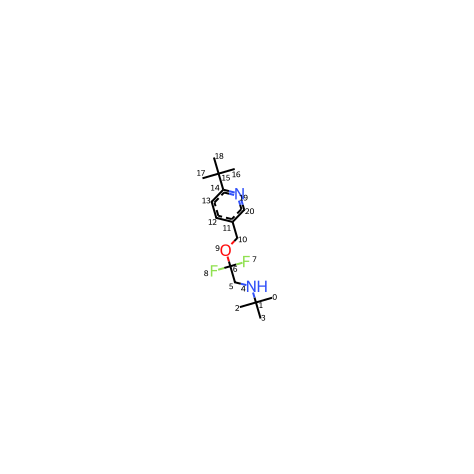 CC(C)(C)NCC(F)(F)OCc1ccc(C(C)(C)C)nc1